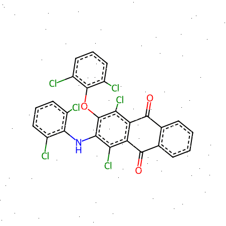 O=C1c2ccccc2C(=O)c2c(Cl)c(Oc3c(Cl)cccc3Cl)c(Nc3c(Cl)cccc3Cl)c(Cl)c21